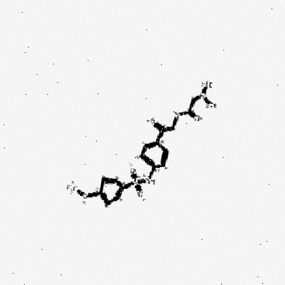 CCN(CC)CC(=O)SCC(=O)c1ccc(NS(=O)(=O)c2ccc(OC(F)(F)F)cc2)cc1